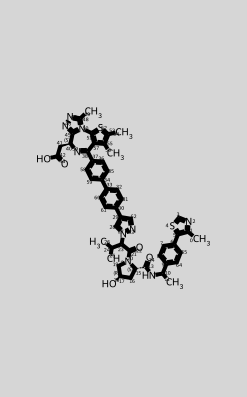 Cc1ncsc1-c1ccc(C(C)NC(=O)[C@@H]2C[C@@H](O)CN2C(=O)C(C(C)C)n2cc(-c3ccc(-c4ccc(C5=N[C@@H](CC(=O)O)c6nnc(C)n6-c6sc(C)c(C)c65)cc4)cc3)cn2)cc1